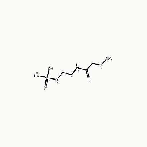 NOCC(=O)NCCOP(=O)(O)O